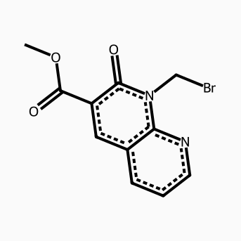 COC(=O)c1cc2cccnc2n(CBr)c1=O